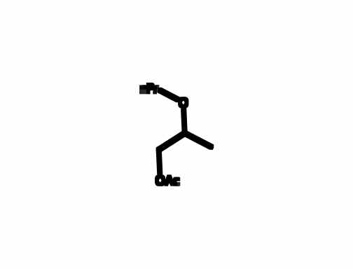 CCCOC(C)COC(C)=O